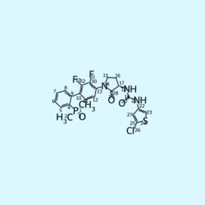 CP(C)(=O)c1ccccc1-c1ccc(N2CC[C@@H](NC(=O)Nc3csc(Cl)c3)C2=O)c(F)c1F